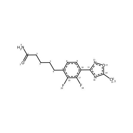 NC(=O)CCCCc1ccc(-c2noc(C(F)(F)F)n2)c(F)c1F